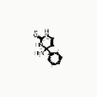 NC1(c2ccccc2)C=CNC(=O)N1